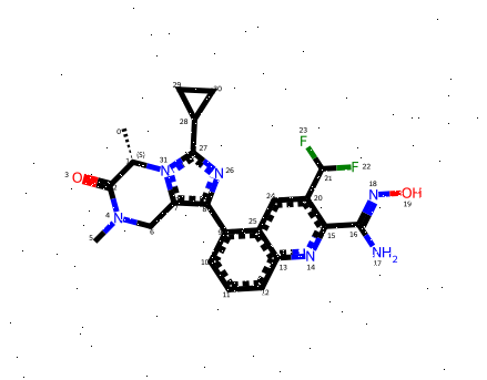 C[C@H]1C(=O)N(C)Cc2c(-c3cccc4nc(C(N)=NO)c(C(F)F)cc34)nc(C3CC3)n21